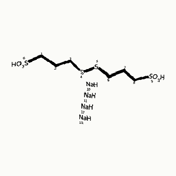 O=S(=O)(O)CCCSSCCCS(=O)(=O)O.[NaH].[NaH].[NaH].[NaH]